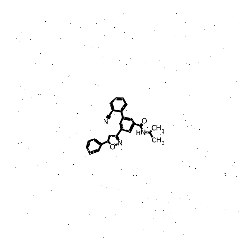 CC(C)NC(=O)c1cc(C2=NOC(c3ccccc3)C2)cc(-c2ccccc2C#N)c1